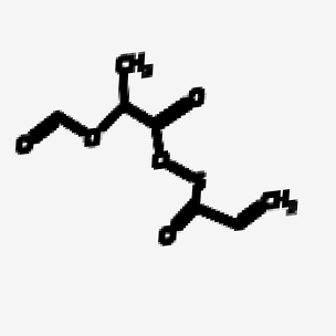 C=CC(=O)SOC(=O)C(C)OC=O